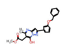 COC(=O)Cc1c(C)nc2cc(-c3cccc(OCc4ccccc4)c3)nn2c1O